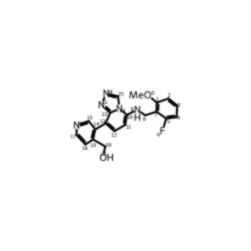 COc1cccc(F)c1CNc1ccc(-c2cnccc2CO)c2nncn12